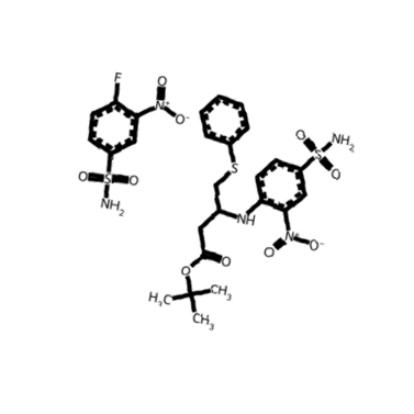 CC(C)(C)OC(=O)CC(CSc1ccccc1)Nc1ccc(S(N)(=O)=O)cc1[N+](=O)[O-].NS(=O)(=O)c1ccc(F)c([N+](=O)[O-])c1